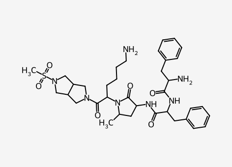 CC1CC(NC(=O)C(Cc2ccccc2)NC(=O)C(N)Cc2ccccc2)C(=O)N1C(CCCCN)C(=O)N1CC2CN(S(C)(=O)=O)CC2C1